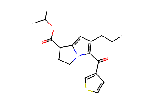 CCCc1cc2n(c1C(=O)c1ccsc1)CCC2C(=O)OC(C)C